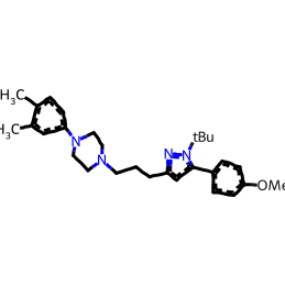 COc1ccc(-c2cc(CCCN3CCN(c4ccc(C)c(C)c4)CC3)nn2C(C)(C)C)cc1